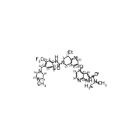 CC[C@H]1CN(C(=O)Nc2cc(C(F)(F)F)c(CN3CCN(C)CC3)cc2F)Cc2cc(Oc3ccnc4[nH]c(C(=O)N(C)C)cc34)cnc21